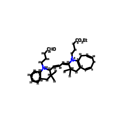 CCOC(=O)CCCN1C2=C(/C=C\C/C=C\C2)CC(C)(C)/C1=C\C=C\C1N(CCCC=O)c2ccccc2CC1(C)C